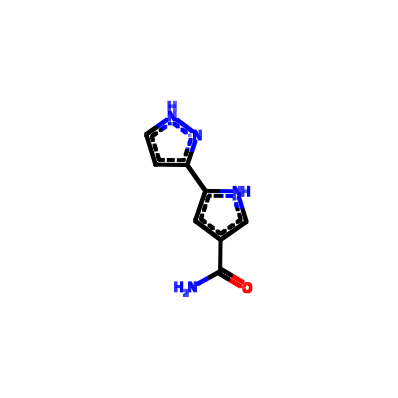 NC(=O)c1c[nH]c(-c2cc[nH]n2)c1